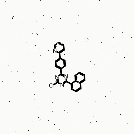 Clc1nc(-c2ccc(-c3ccccn3)cc2)nc(-c2cccc3ccccc23)n1